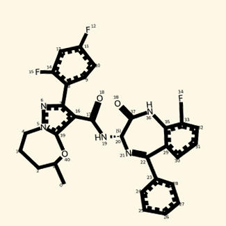 CC1CCCn2nc(-c3ccc(F)cc3F)c(C(=O)N[C@H]3N=C(c4ccccc4)c4cccc(F)c4NC3=O)c2O1